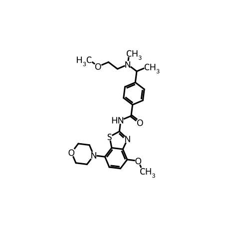 COCCN(C)C(C)c1ccc(C(=O)Nc2nc3c(OC)ccc(N4CCOCC4)c3s2)cc1